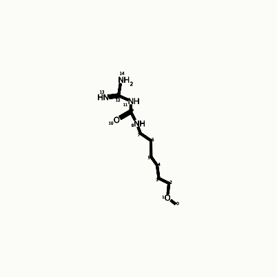 COCCCCCCNC(=O)NC(=N)N